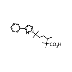 CC(CCC(C)(C)n1ccc(-c2ccccc2)n1)C(C)(C)C(=O)O